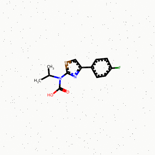 CC(C)N(C(=O)O)c1nc(-c2ccc(F)cc2)cs1